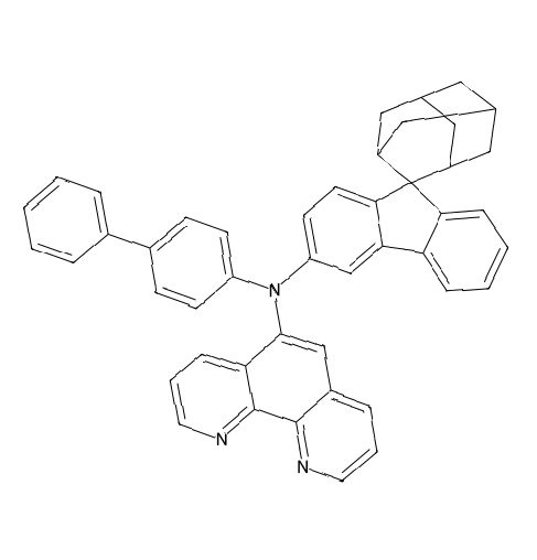 c1ccc(-c2ccc(N(c3ccc4c(c3)-c3ccccc3C43C4CC5CC(C4)CC3C5)c3cc4cccnc4c4ncccc34)cc2)cc1